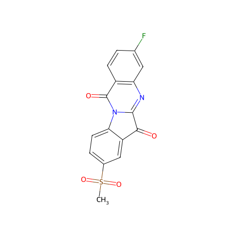 CS(=O)(=O)c1ccc2c(c1)C(=O)c1nc3cc(F)ccc3c(=O)n1-2